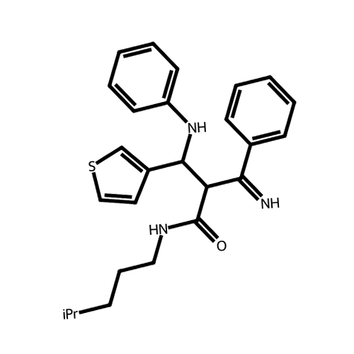 CC(C)CCCNC(=O)C(C(=N)c1ccccc1)C(Nc1ccccc1)c1ccsc1